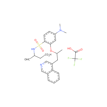 CC(Cc1cncc2ccccc12)Oc1cc(N(C)C)ccc1S(=O)(=O)NC(C=O)CC(=O)O.O=C(O)C(F)(F)F